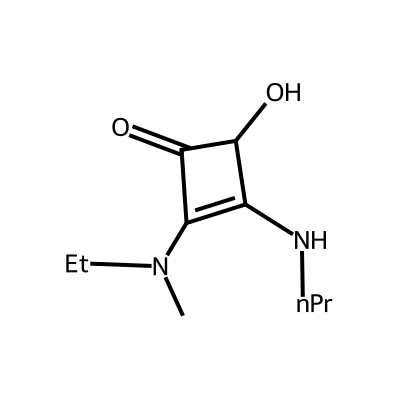 CCCNC1=C(N(C)CC)C(=O)C1O